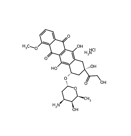 COc1cccc2c1C(=O)c1c(O)c3c(c(O)c1C2=O)C[C@@](O)(C(=O)CO)C[C@@H]3O[C@H]1C[C@H](N)[C@H](O)[C@H](C)O1.Cl.N